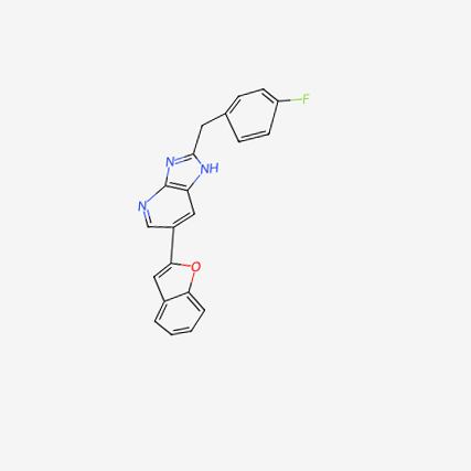 Fc1ccc(Cc2nc3ncc(-c4cc5ccccc5o4)cc3[nH]2)cc1